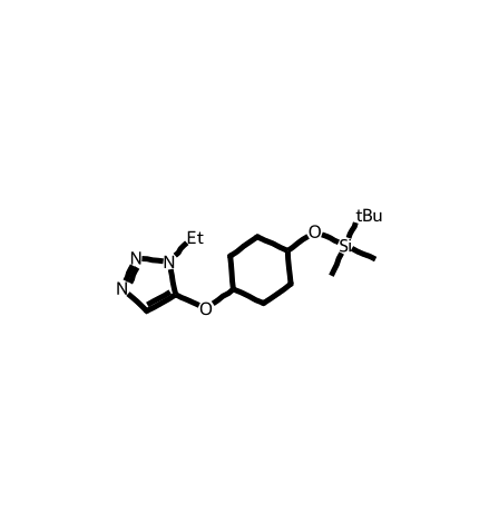 CCn1nncc1OC1CCC(O[Si](C)(C)C(C)(C)C)CC1